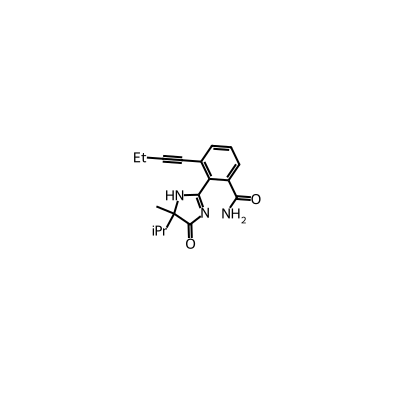 CCC#Cc1cccc(C(N)=O)c1C1=NC(=O)C(C)(C(C)C)N1